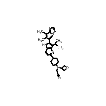 Cc1c(-c2[nH]c3ccc(C4CCC(N(CC#N)C5COC5)CC4)nc3c2C(C)C)cn2ncnc2c1C